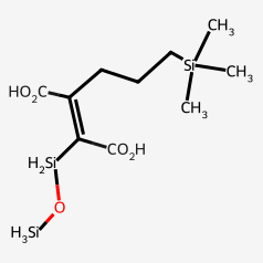 C[Si](C)(C)CCC/C(C(=O)O)=C(/[SiH2]O[SiH3])C(=O)O